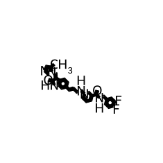 Cc1cncn1/C=C1\C(=O)Nc2cc(/C=C/CNN3C=CC=C(C(=O)NCc4ccc(F)c(F)c4)C3)ccc21